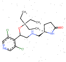 CC[Si](CC)(CC)OC(CNC[C@H]1CCC(=O)N1)c1c(Cl)cncc1Cl